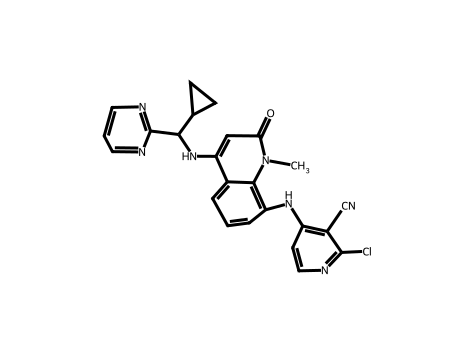 Cn1c(=O)cc(NC(c2ncccn2)C2CC2)c2cccc(Nc3ccnc(Cl)c3C#N)c21